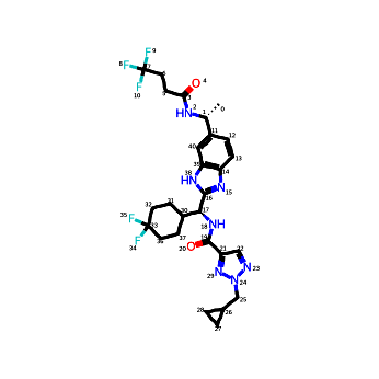 C[C@@H](NC(=O)CCC(F)(F)F)c1ccc2nc([C@@H](NC(=O)c3cnn(CC4CC4)n3)C3CCC(F)(F)CC3)[nH]c2c1